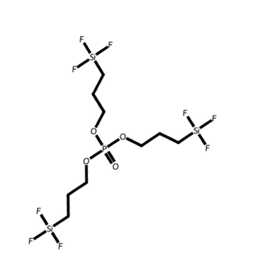 O=P(OCCC[Si](F)(F)F)(OCCC[Si](F)(F)F)OCCC[Si](F)(F)F